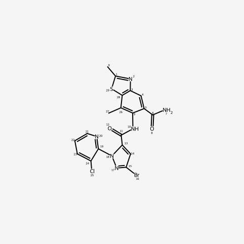 Cc1nc2cc(C(N)=O)c(NC(=O)c3cc(Br)nn3-c3ncccc3Cl)c(C)c2s1